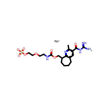 Cc1nc2c(cc1C(=O)NC(=N)N)CCCCC2COC(=O)NCCOCCOS(=O)(=O)[O-].[Na+]